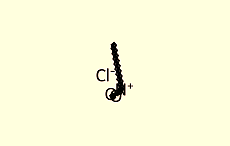 CCCCCCCCCCCCCCCCCC[N+](C)(C)CCOC(C)=O.[Cl-]